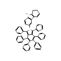 CCn1c2c(c3cc(-n4c(-c5ccccc5)c5c(-c6ccccc6)c(-c6ccccc6)c(-c6ccccc6)c(-c6ccccc6)c5c4-c4ccccc4)ccc31)C=CCC2